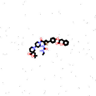 CCNC(=O)Nc1sc(-c2ccc(OC(Cc3ccccc3)C(=O)O)cc2)cc1C(=O)N1CCC(N2CCCC3(C2)CC(C)(C)OC3=O)CC1